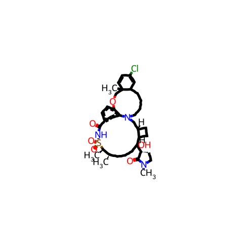 C[C@@H]1[C@@H](C)CCC[C@](O)([C@@H]2CCN(C)C2=O)[C@@H]2CC[C@H]2CN2CCCCC3C=C(Cl)C=CC3(C)COc3ccc(cc32)C(=O)NS1(=O)=O